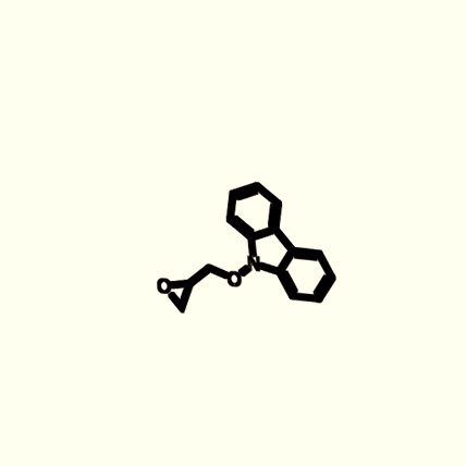 c1ccc2c(c1)c1ccccc1n2OCC1CO1